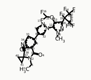 CCN(C(=O)c1cc(-c2cnn(-c3c(OC(F)F)c(C(F)(C(F)(F)F)C(F)(F)F)nn3C)c2)ccc1Cl)C1(C#N)CC1